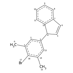 Cc1cc(C2C=Cc3ccccc32)cc(C)c1Br